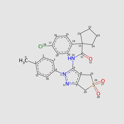 Cc1ccc(-n2nc3c(c2NC(=O)C2(c4ccc(Cl)cc4)CCCC2)CS(=O)(=O)C3)cc1